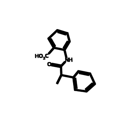 CC(C(=O)Nc1ccccc1C(=O)O)c1ccccc1